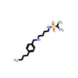 CCCCc1ccc(CNCCCCNS(=O)(=O)C(C)C)cc1